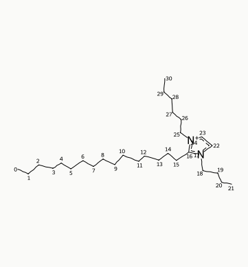 CCCCCCCCCCCCCCCCc1n(CCCC)cc[n+]1CCCCCC